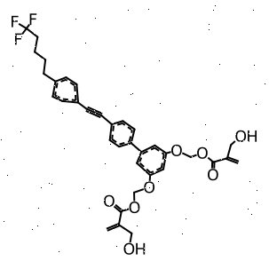 C=C(CO)C(=O)OCOc1cc(OCOC(=O)C(=C)CO)cc(-c2ccc(C#Cc3ccc(CCCCC(F)(F)F)cc3)cc2)c1